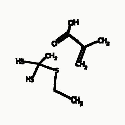 C=C(C)C(=O)O.CCSC(C)(S)S